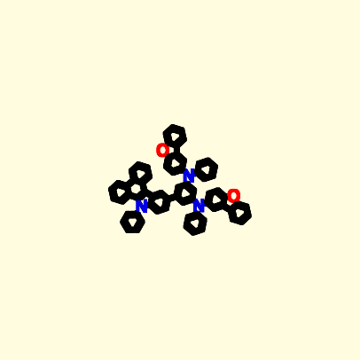 c1ccc(N(c2cc(-c3ccc4c(c3)c3c5ccccc5c5ccccc5c3n4-c3ccccc3)cc(N(c3ccccc3)c3ccc4oc5ccccc5c4c3)c2)c2ccc3oc4ccccc4c3c2)cc1